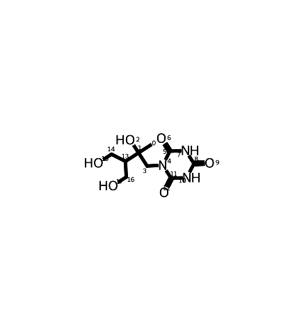 CC(O)(Cn1c(=O)[nH]c(=O)[nH]c1=O)C(CO)CO